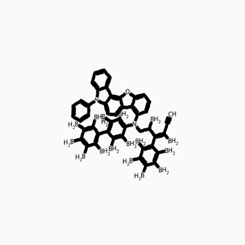 B/C(C#C)=C(\c1c(B)c(B)c(B)c(B)c1B)C(B)CN(c1c(B)c(B)c(-c2c(B)c(B)c(B)c(B)c2B)c(B)c1B)c1cccc2oc3c(ccc4c3c3ccccc3n4-c3ccccc3)c12